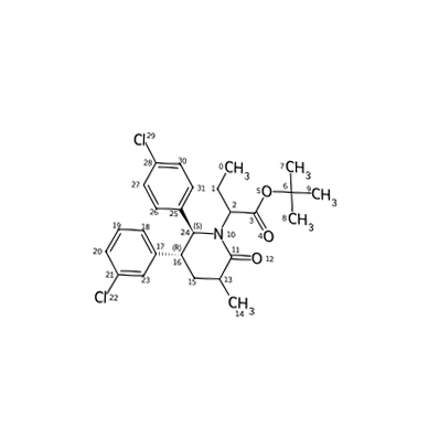 CCC(C(=O)OC(C)(C)C)N1C(=O)C(C)C[C@H](c2cccc(Cl)c2)[C@H]1c1ccc(Cl)cc1